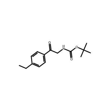 CCc1ccc(C(=O)CNC(=O)OC(C)(C)C)cc1